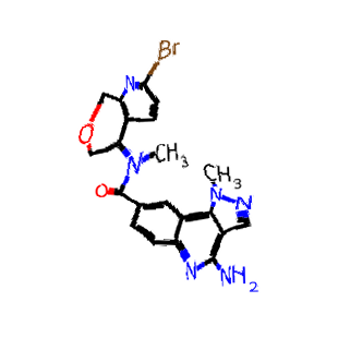 CN(C(=O)c1ccc2nc(N)c3cnn(C)c3c2c1)C1COCc2nc(Br)ccc21